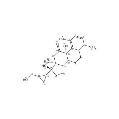 CC1C=CC(O)=C2C1CCC1C3CC[C@](O)(C4OC4CO)[C@@]3(C)CC(=O)[C@@]21O